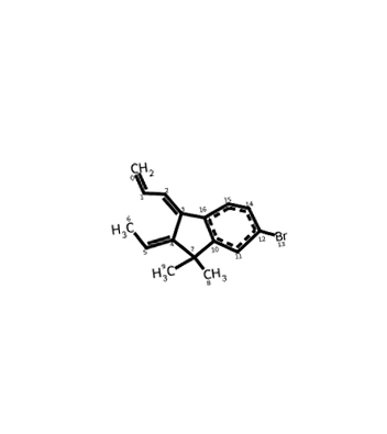 C=C/C=C1\C(=C/C)C(C)(C)c2cc(Br)ccc21